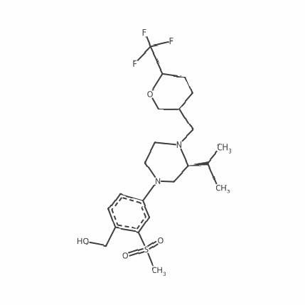 CC(C)[C@H]1CN(c2ccc(CO)c(S(C)(=O)=O)c2)CCN1CC1CCC(C(F)(F)F)OC1